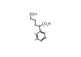 CCCCCCCCCCCC(C(=O)O)c1ccccc1